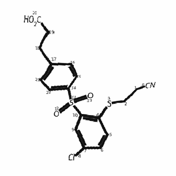 N#CCCSc1ccc(Cl)cc1S(=O)(=O)c1ccc(CCC(=O)O)cc1